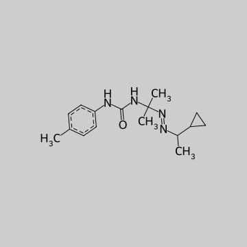 Cc1ccc(NC(=O)NC(C)(C)N=NC(C)C2CC2)cc1